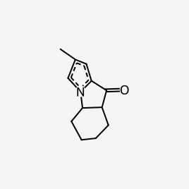 Cc1cc2n(c1)C1CCCCC1C2=O